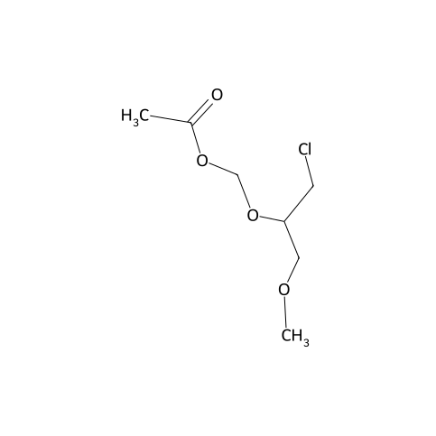 COCC(CCl)OCOC(C)=O